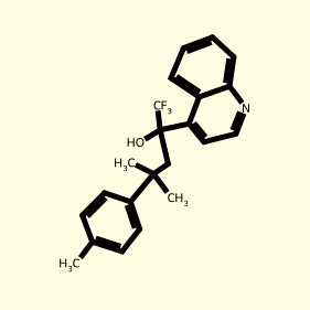 Cc1ccc(C(C)(C)CC(O)(c2ccnc3ccccc23)C(F)(F)F)cc1